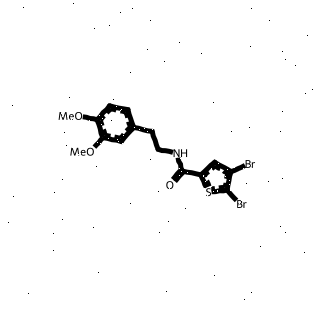 COc1ccc(CCNC(=O)c2cc(Br)c(Br)s2)cc1OC